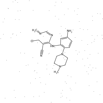 C=N/C=N\C(Nc1cc(N)ccc1N1CCN(C)CC1)=C(\C#N)CCl